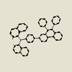 c1ccc(-c2c(-c3ccccc3)c3cc(-c4ccc(C5c6c(ccc7ccccc67)Oc6ccc7ccccc7c65)cc4)ccc3c3ccccc23)cc1